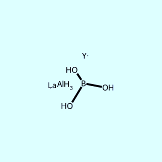 OB(O)O.[AlH3].[La].[Y]